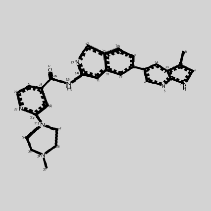 Cc1c[nH]c2ncc(-c3ccc4cnc(NC(=O)c5ccnc(N6CCN(C)CC6)c5)cc4c3)cc12